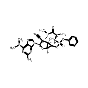 C#C[C@]1(F)[C@H](n2cnc3c(N(C)C)nc(N)nc32)O[C@@H]2C(OP(=O)(N[C@H](C)C(=O)OC)Oc3ccccc3)[C@@]21O